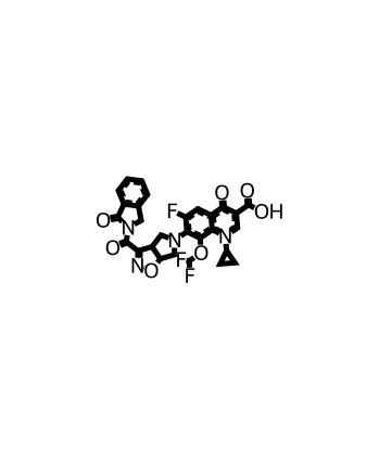 O=C(O)c1cn(C2CC2)c2c(OC(F)F)c(N3CC4ON=C(C(=O)N5Cc6ccccc6C5=O)C4C3)c(F)cc2c1=O